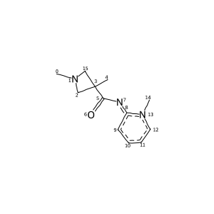 CN1CC(C)(C(=O)/N=c2\ccccn2C)C1